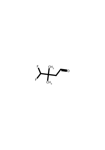 CC(C)(CC=O)C(F)F